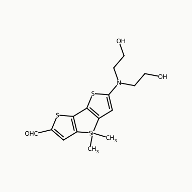 C[Si]1(C)c2cc(C=O)sc2-c2sc(N(CCO)CCO)cc21